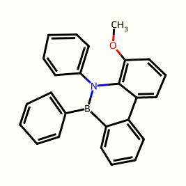 COc1cccc2c1N(c1ccccc1)B(c1ccccc1)c1ccccc1-2